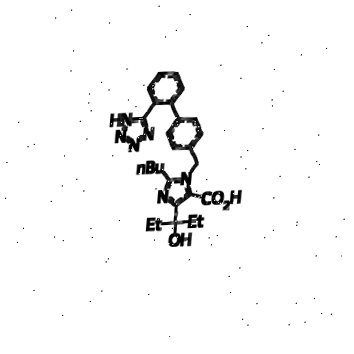 CCCCc1nc(C(O)(CC)CC)c(C(=O)O)n1Cc1ccc(-c2ccccc2-c2nnn[nH]2)cc1